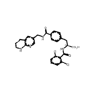 O=C(NCc1cnc2c(c1)CCCN2)c1ccc(C[C@H](NC(=O)c2c(Cl)cccc2Cl)C(=O)O)cc1